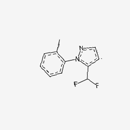 Cc1ccccc1-n1nc[c]c1C(F)F